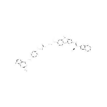 CN(CCOC(=O)NCc1ccc(COc2nc(N)nc3[nH]cnc23)cc1)c1ccc2c(c1)C(C)(C)c1cc(/C=C(\C#N)c3nc4ccccc4s3)sc1-2